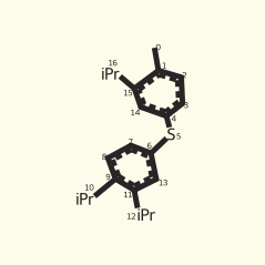 Cc1ccc(Sc2ccc(C(C)C)c(C(C)C)c2)cc1C(C)C